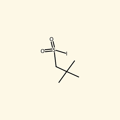 CC(C)(C)CS(=O)(=O)I